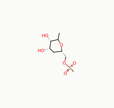 CC1O[C@H](COS(C)(=O)=O)C[C@H](O)[C@@H]1O